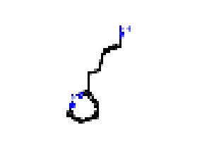 NC=CCCc1ccccn1